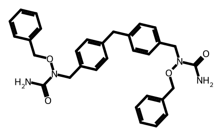 NC(=O)N(Cc1ccc(Cc2ccc(CN(OCc3ccccc3)C(N)=O)cc2)cc1)OCc1ccccc1